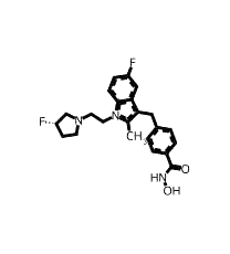 Cc1c(Cc2ccc(C(=O)NO)cc2)c2cc(F)ccc2n1CCN1CC[C@H](F)C1